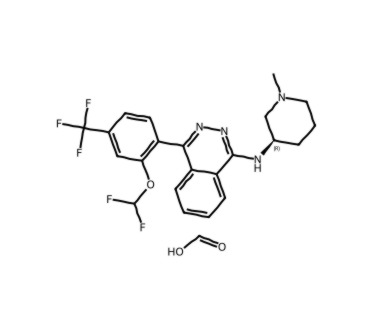 CN1CCC[C@@H](Nc2nnc(-c3ccc(C(F)(F)F)cc3OC(F)F)c3ccccc23)C1.O=CO